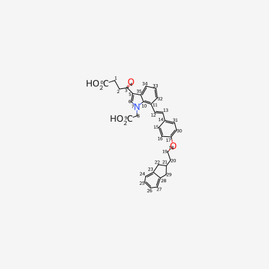 O=C(O)CCC(=O)c1cn(CC(=O)O)c2c(/C=C/c3ccc(OCCC4Cc5ccccc5C4)cc3)cccc12